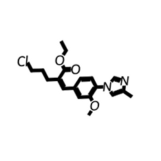 CCOC(=O)C(=Cc1ccc(-n2cnc(C)c2)c(OC)c1)CCCCl